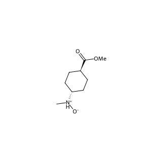 COC(=O)[C@H]1CC[C@H]([NH+](C)[O-])CC1